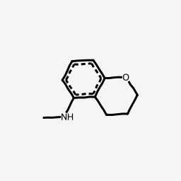 CNc1cccc2c1CCCO2